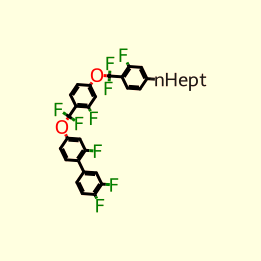 CCCCCCCc1ccc(C(F)(F)Oc2ccc(C(F)(F)Oc3ccc(-c4ccc(F)c(F)c4)c(F)c3)c(F)c2)c(F)c1